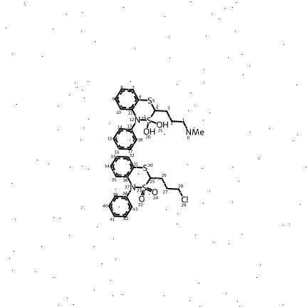 CNCCCC1Sc2ccccc2N(c2ccccc2)S1(O)O.O=S1(=O)C(CCCCl)Sc2ccccc2N1c1ccccc1